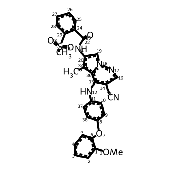 COc1ccccc1Oc1ccc(Nc2c(C#N)cnn3cc(NC(=O)c4ccccc4S(C)(=O)=O)c(C)c23)cc1